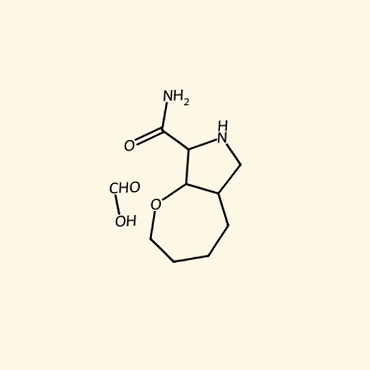 NC(=O)C1NCC2CCCCOC21.O=CO